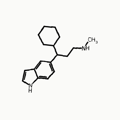 CNCCC(c1ccc2[nH]ccc2c1)C1CCCCC1